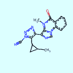 CC1CC1c1c(-c2ncn3c4ccccc4c(=O)n(C)c23)nnn1C#N